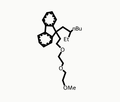 CCCCC(CC)CC1(CCOCCOCCOC)c2ccccc2-c2ccccc21